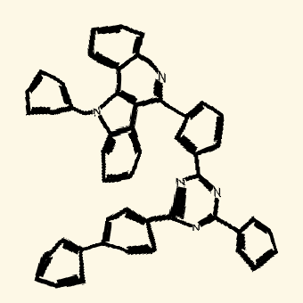 c1ccc(-c2ccc(-c3nc(-c4ccccc4)nc(-c4cccc(-c5nc6ccccc6c6c5c5ccccc5n6-c5ccccc5)c4)n3)cc2)cc1